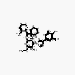 OC[C@H]1O[C@@H](SC(c2ncccc2C(F)(F)F)C2(O)CCCCC2)[C@H](O)[C@@H](n2cc(-c3cc(F)c(F)c(F)c3)nn2)[C@H]1O